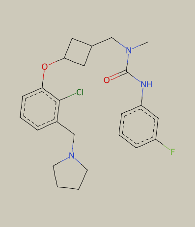 CN(CC1CC(Oc2cccc(CN3CCCC3)c2Cl)C1)C(=O)Nc1cccc(F)c1